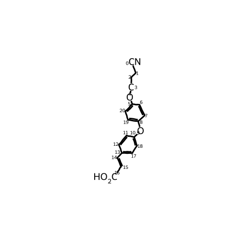 N#CCCCOc1ccc(Oc2ccc(/C=C/C(=O)O)cc2)cc1